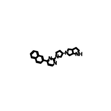 c1ccc2cc(-c3ccnc(N4CC[C@H](N5CC6CCNC6C5)C4)n3)ccc2c1